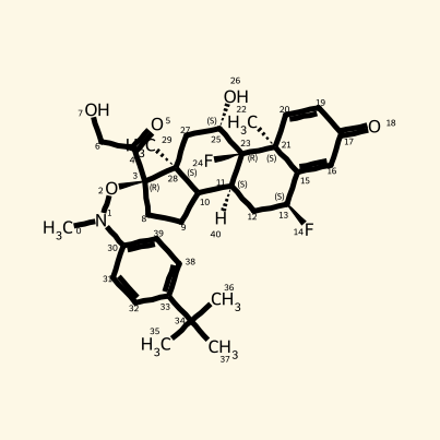 CN(O[C@]1(C(=O)CO)CCC2[C@@H]3C[C@H](F)C4=CC(=O)C=C[C@]4(C)[C@@]3(F)[C@@H](O)C[C@@]21C)c1ccc(C(C)(C)C)cc1